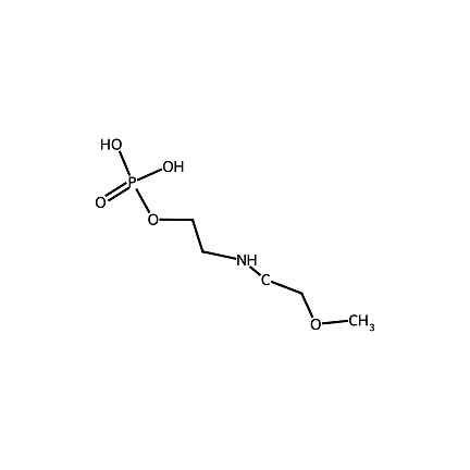 COCCNCCOP(=O)(O)O